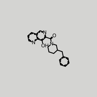 O=C(c1ncc2cccnc2c1O)N1CCCC(Cc2ccccc2)C1